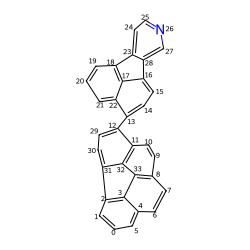 c1cc2c3c(c1)ccc1ccc4c(-c5ccc6c7c(cccc57)-c5ccncc5-6)ccc-2c4c13